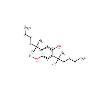 CCOC(=O)CCCC(C)(C)c1cc(OCC)c(C(C)(C)CCCC(=O)OCC)cc1O